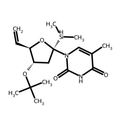 C=C[C@H]1O[C@](n2cc(C)c(=O)[nH]c2=O)([SiH](C)C)C[C@@H]1OC(C)(C)C